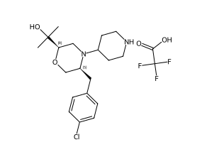 CC(C)(O)[C@H]1CN(C2CCNCC2)[C@@H](Cc2ccc(Cl)cc2)CO1.O=C(O)C(F)(F)F